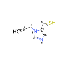 C#CCn1cncc1CS